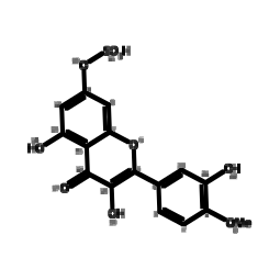 COc1ccc(-c2oc3cc(OS(=O)(=O)O)cc(O)c3c(=O)c2O)cc1O